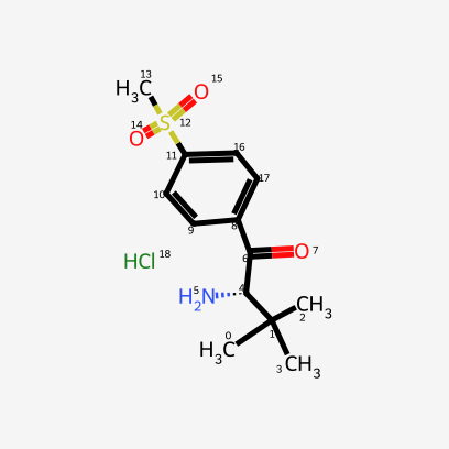 CC(C)(C)[C@H](N)C(=O)c1ccc(S(C)(=O)=O)cc1.Cl